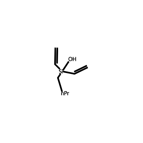 C=C[Si](O)(C=C)CCCC